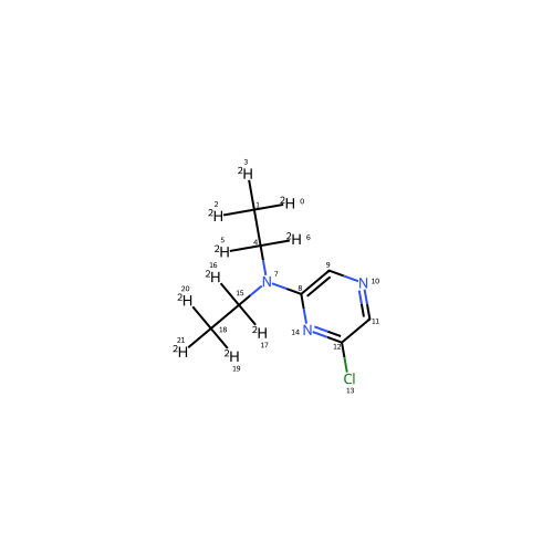 [2H]C([2H])([2H])C([2H])([2H])N(c1cncc(Cl)n1)C([2H])([2H])C([2H])([2H])[2H]